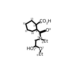 CCOC(O)CN(CC)C(=O)C1CCCCC1C(=O)O